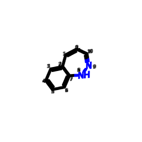 [C]1=Cc2ccccc2NN=C1